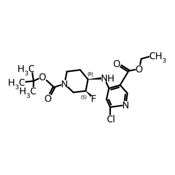 CCOC(=O)c1cnc(Cl)cc1N[C@@H]1CCN(C(=O)OC(C)(C)C)C[C@@H]1F